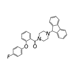 O=C(c1ccccc1Oc1ccc(F)cc1)N1CCN(C2c3ccccc3-c3ccccc32)CC1